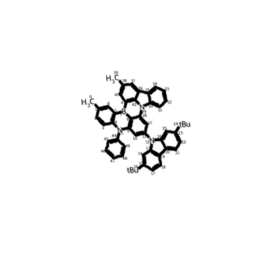 Cc1ccc2c(c1)B1c3c(cc(-n4c5cc(C(C)(C)C)ccc5c5ccc(C(C)(C)C)cc54)cc3-n3c4ccccc4c4cc(C)cc1c43)N2c1ccccc1